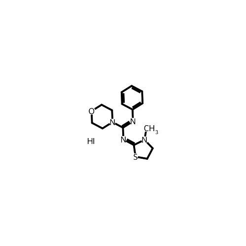 CN1CCS/C1=N/C(=N/c1ccccc1)N1CCOCC1.I